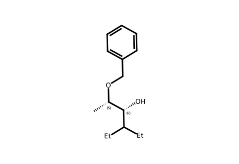 CCC(CC)[C@@H](O)[C@H](C)OCc1ccccc1